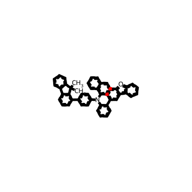 CC1(C)c2ccccc2-c2cccc(-c3ccc(N(c4ccccc4-c4ccc5oc6ccccc6c5c4)c4cccc5ccccc45)cc3)c21